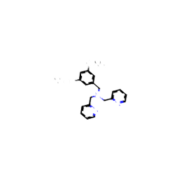 COc1cc(CN(Cc2ccccn2)Cc2ccccn2)cc(OC)c1